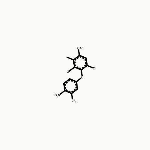 CC(=O)Oc1cc(Cl)c(Oc2ccc([N+](=O)[O-])c(C(F)(F)F)c2)c(Cl)c1C